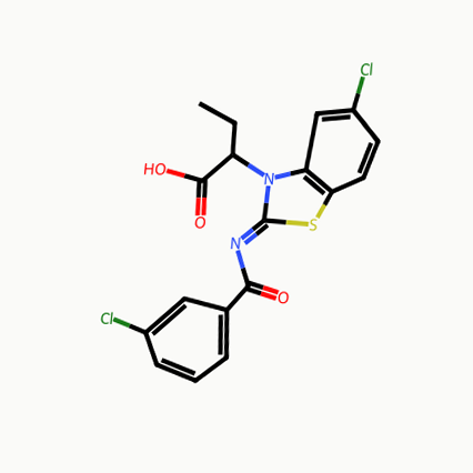 CCC(C(=O)O)n1c(=NC(=O)c2cccc(Cl)c2)sc2ccc(Cl)cc21